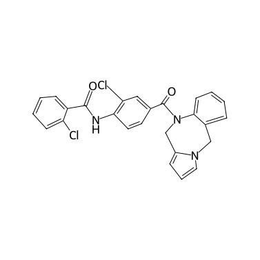 O=C(Nc1ccc(C(=O)N2Cc3cccn3Cc3ccccc32)cc1Cl)c1ccccc1Cl